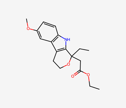 CCOC(=O)CC1(CC)OCCc2c1[nH]c1ccc(OC)cc21